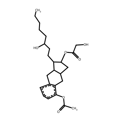 CCCCCC(O)CCC1C(OC(=O)CO)CC2Cc3c(cccc3OC(C)=O)CC21